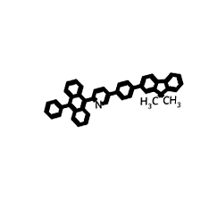 CC1(C)c2ccccc2-c2ccc(-c3ccc(-c4ccc(-c5c6ccccc6c(-c6ccccc6)c6ccccc56)nc4)cc3)cc21